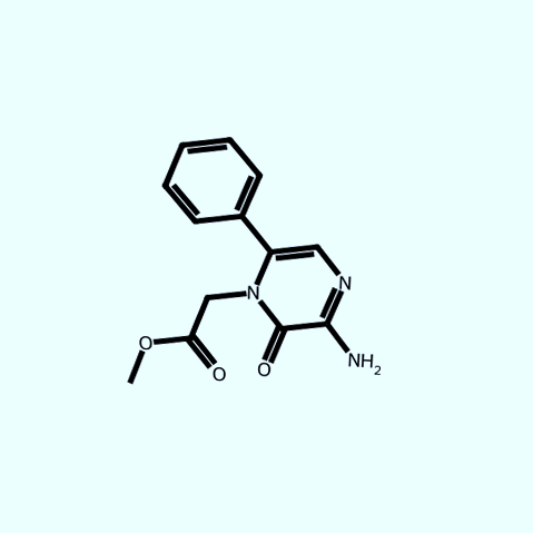 COC(=O)Cn1c(-c2ccccc2)cnc(N)c1=O